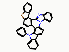 c1ccc(-n2c3ccccc3c3ccc4c(c5ccc6sc7ccccc7c6c5c5nc6ccccc6n45)c32)cc1